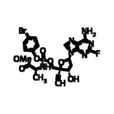 C#C[C@]1(COP(=O)(N[C@@H](C)C(=O)OC)Oc2ccc(Br)cc2)O[C@@H](n2cnc3c(N)nc(F)nc32)C[C@@H]1O